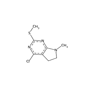 CSc1nc(Cl)c2c(n1)N(C)CC2